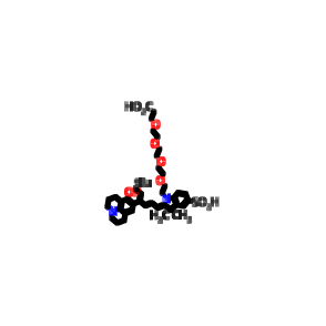 CC(C)(C)C/C=C(/C=C/C=C1\N(CCOCCOCCOCCOCCC(=O)O)c2ccc(S(=O)(=O)O)cc2C1(C)C)c1cc2c3c(c1O)CCCN3CCC2